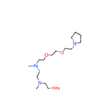 CN(CCO)CCN(C)CCOCCOCCN1CCCC1